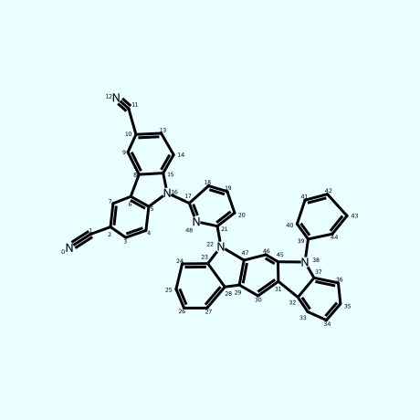 N#Cc1ccc2c(c1)c1cc(C#N)ccc1n2-c1cccc(-n2c3ccccc3c3cc4c5ccccc5n(-c5ccccc5)c4cc32)n1